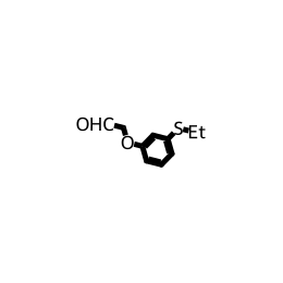 CCSc1cccc(OCC=O)c1